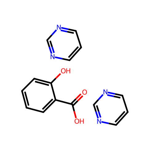 O=C(O)c1ccccc1O.c1cncnc1.c1cncnc1